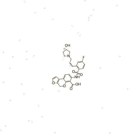 O=C(O)c1c(NS(=O)(=O)c2ccc(F)cc2/C=C\CN2CC[C@H](O)C2)ccc2c1OCc1occc1-2